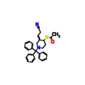 CC(=O)SC1CCN(C(c2ccccc2)(c2ccccc2)c2ccccc2)CC1=CCC#N